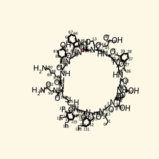 CCCC[C@H]1C(=O)N2C[C@H](O)C[C@@H]2C(=O)N[C@@H](CC(=O)O)C(=O)N[C@@H](C(C)C)C(=O)N(C)[C@@H](Cc2ccccc2)C(=O)N[C@@H](CCC(=O)O)C(=O)N2CCOC[C@@H]2C(=O)N[C@@H](Cc2c[nH]c3ccccc23)C(=O)N[C@@H](Cc2ccc(O)cc2)C(=O)N[C@@H](CCCCN)C(=O)N[C@H](C(=O)NCC(N)=O)CSCC(=O)N[C@@H](Cc2cc(F)c(F)c(F)c2)C(=O)N(C)C(Cc2ccc(F)cc2)C(=O)N1C